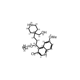 COc1ccc2ncc(Cl)c([C@@H](O)CCC3(CO)CCNCC3)c2c1.Cl.Cl